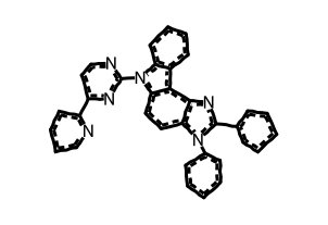 c1ccc(-c2nc3c4c5ccccc5n(-c5nccc(-c6ccccn6)n5)c4ccc3n2-c2ccccc2)cc1